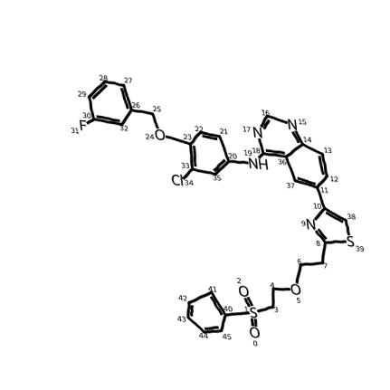 O=S(=O)(CCOCCc1nc(-c2ccc3ncnc(Nc4ccc(OCc5cccc(F)c5)c(Cl)c4)c3c2)cs1)c1ccccc1